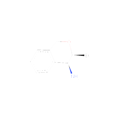 CC[C@@H]1OCc2ccccc2[C@@H]1N